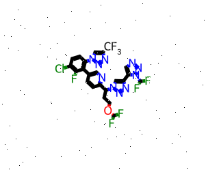 Fc1c(Cl)ccc(-n2cc(C(F)(F)F)nn2)c1-c1ccc(C(CCOC(F)F)n2cc(-c3cnnn3C(F)F)nn2)nc1